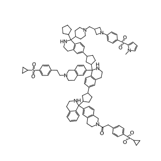 Cn1cccc1S(=O)(=O)c1ccc(N2CC(CN3CCC(C4(C5CCCC5)NCCc5cc(C6CCC(C7(c8ccc9c(c8)CCN(CCc8ccc(S(=O)(=O)C%10CC%10)cc8)C9)NCCc8cc(C9CCC(C%10(c%11ccc%12c(c%11)CCN(C(=O)Cc%11ccc(S(=O)(=O)C%13CC%13)cc%11)C%12)NCCc%11ccccc%11%10)C9)ccc87)C6)ccc54)CC3)C2)cc1